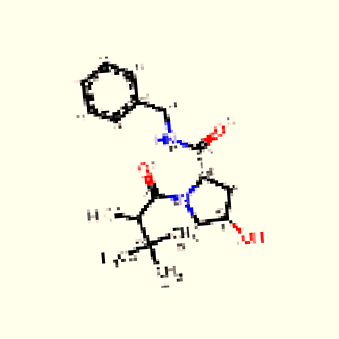 CC(C(=O)N1C[C@H](O)C[C@H]1C(=O)NCc1ccccc1)C(C)(C)C